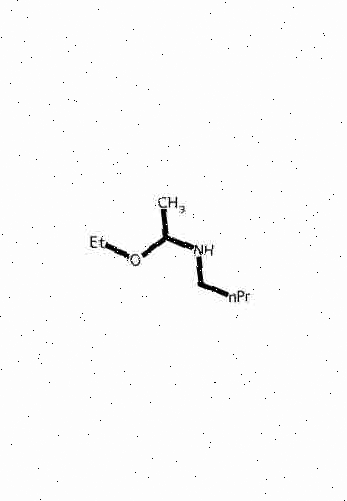 CCCCNC(C)OCC